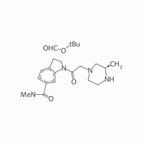 CC(C)(C)OC=O.CNC(=O)c1ccc2c(c1)N(C(=O)CN1CCN[C@H](C)C1)CC2